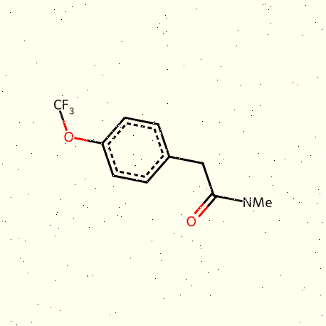 CNC(=O)Cc1ccc(OC(F)(F)F)cc1